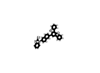 CCc1nc2ccccc2n1-c1ccc2cc(-c3cc4c5ccccc5oc4c4c3oc3ccccc34)ccc2c1